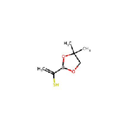 C=C(S)B1OCC(C)(C)O1